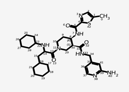 Cc1cnc(C(=O)N[C@@H]2CCN(C(=O)C(CC3CCCCC3)NC3CCCCC3)C[C@@H]2C(=O)NCc2ccnc(N)c2)s1